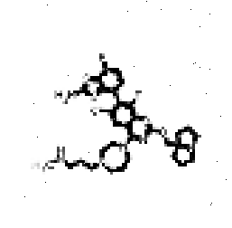 CNCCCN1CCCN(c2nc(OCC34CCCN3CCC4)nc3c(F)c(-c4ccc(F)c5sc(N)nc45)c(Cl)cc23)CC1